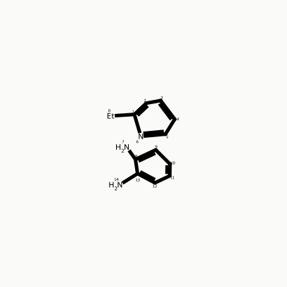 CCc1ccccn1.Nc1ccccc1N